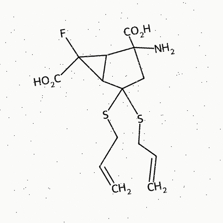 C=CCSC1(SCC=C)CC(N)(C(=O)O)C2C1C2(F)C(=O)O